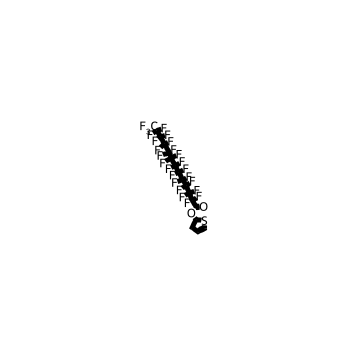 O=C(OC1CC=CS1)C(F)(F)C(F)(F)C(F)(F)C(F)(F)C(F)(F)C(F)(F)C(F)(F)C(F)(F)C(F)(F)C(F)(F)C(F)(F)C(F)(F)F